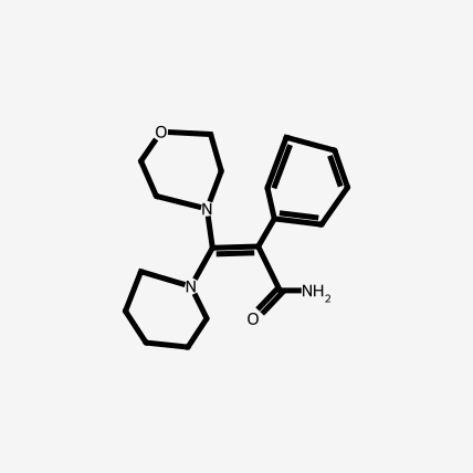 NC(=O)C(=C(N1CCCCC1)N1CCOCC1)c1ccccc1